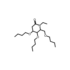 CCCCOCC1C(OCCCC)C(OCCCC)CC(=O)N1CC